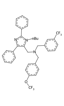 CCCCn1c(-c2ccccc2)nc(-c2ccccc2)c1CN(Cc1ccc(OC(F)(F)F)cc1)Cc1cccc(C(F)(F)F)c1